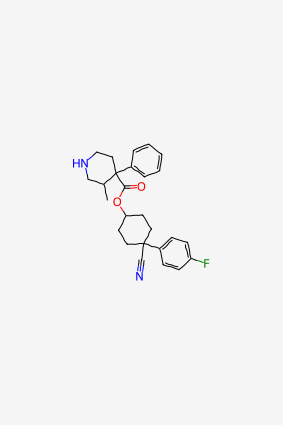 CC1CNCCC1(C(=O)OC1CCC(C#N)(c2ccc(F)cc2)CC1)c1ccccc1